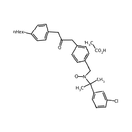 CC(=O)O.CCCCCCc1ccc(CC(=O)Cc2ccc(CN([O])C(C)(C)c3cccc(Cl)c3)cc2)cc1